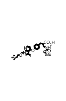 CC(C)(C)OC(=O)NCC(Cc1ccc(Oc2ccnc3c2c(I)cn3COCC[Si](C)(C)C)cc1)C(=O)O